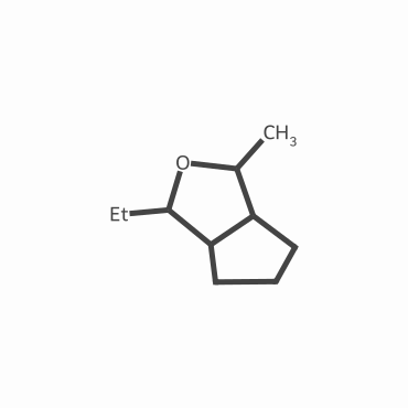 CCC1OC(C)C2CCCC12